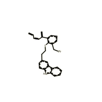 C=C/C=C\C(=C)c1cccc(CC(C)C)c1SCCc1ccc2[nH]c3ccccc3c2c1